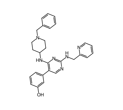 Oc1cccc(-c2cnc(NCc3ccccn3)nc2NC2CCN(Cc3ccccc3)CC2)c1